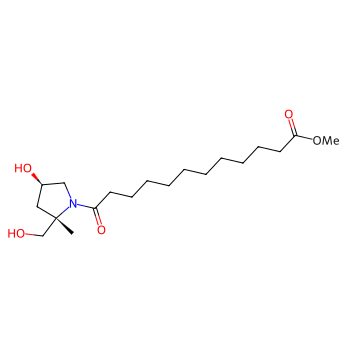 COC(=O)CCCCCCCCCCC(=O)N1C[C@H](O)C[C@@]1(C)CO